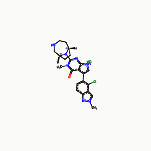 Cl.Cn1cc2c(Cl)c(-c3c[nH]c4nc(N5[C@@H]6CCNC[C@H]5CC6)n(C)c(=O)c34)ccc2n1